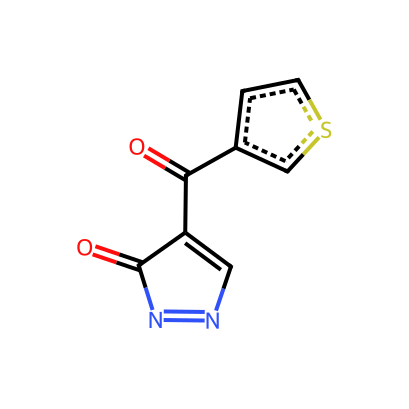 O=C1N=NC=C1C(=O)c1ccsc1